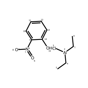 C[CH2][Al]([Cl])[CH2]C.O=[N+]([O-])c1ccccc1O